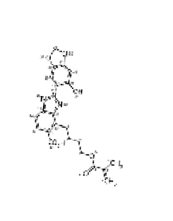 C=C(C)C(=O)OCCCCc1c(C(=O)O)ccc2nn(-c3cc4c(cc3O)OCO4)nc12